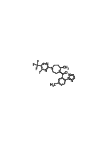 Cc1ccc(-n2nccn2)c(C(=O)N2CCN(c3ncc(C(F)(F)F)c(I)n3)CC[C@H]2C)c1